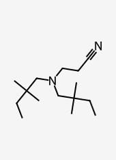 CCC(C)(C)CN(CCC#N)CC(C)(C)CC